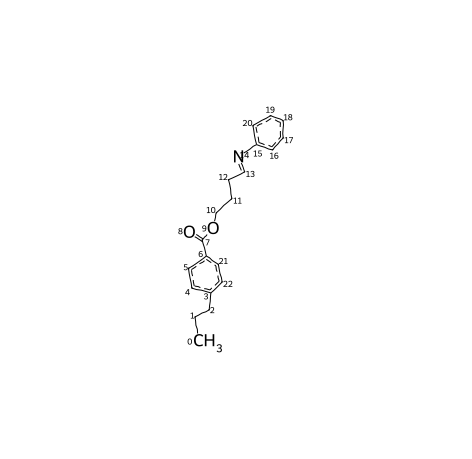 CCCc1ccc(C(=O)OCCCC=Nc2ccccc2)cc1